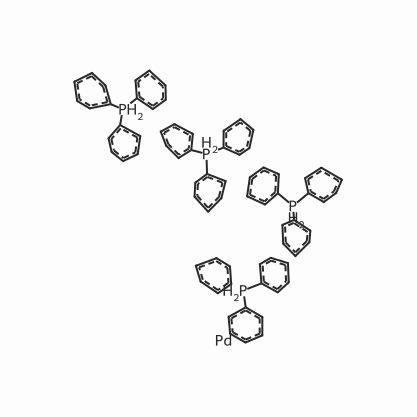 [Pd].c1ccc([PH2](c2ccccc2)c2ccccc2)cc1.c1ccc([PH2](c2ccccc2)c2ccccc2)cc1.c1ccc([PH2](c2ccccc2)c2ccccc2)cc1.c1ccc([PH2](c2ccccc2)c2ccccc2)cc1